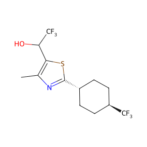 Cc1nc([C@H]2CC[C@H](C(F)(F)F)CC2)sc1C(O)C(F)(F)F